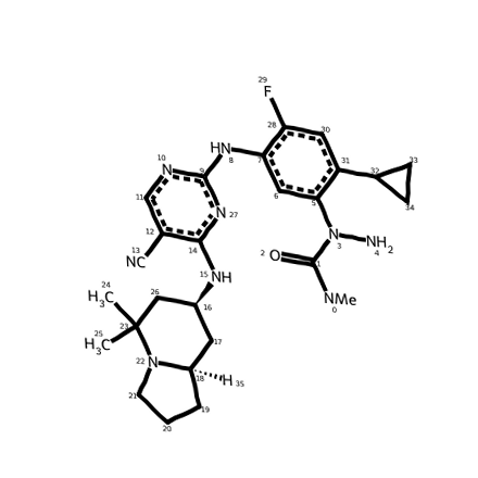 CNC(=O)N(N)c1cc(Nc2ncc(C#N)c(N[C@H]3C[C@H]4CCCN4C(C)(C)C3)n2)c(F)cc1C1CC1